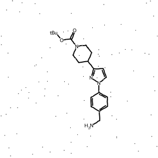 CC(C)(C)OC(=O)N1CCC(c2ccn(-c3ccc(CN)cc3)n2)CC1